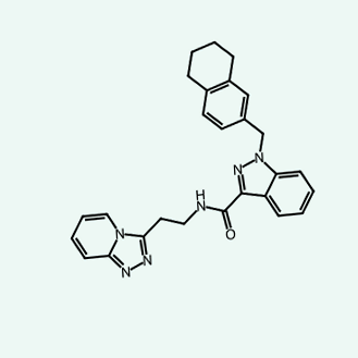 O=C(NCCc1nnc2ccccn12)c1nn(Cc2ccc3c(c2)CCCC3)c2ccccc12